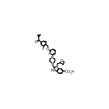 O=C(O)c1ccc2c(c1)N(CC1CCO1)C(CN1CCN(c3cccc(OCc4ccc(C(=O)C5CC5)cc4F)n3)CC1)N2